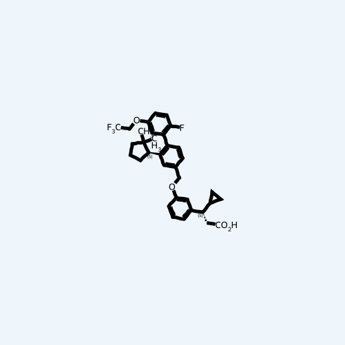 CC1(C)CCC[C@@H]1c1cc(COc2cccc([C@@H](CC(=O)O)C3CC3)c2)ccc1-c1cc(OCC(F)(F)F)ccc1F